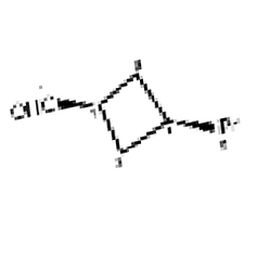 CC(C)[C@H]1C[C@@H](C=O)C1